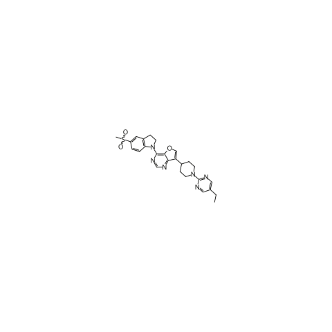 CCc1cnc(N2CCC(c3coc4c(N5CCc6cc(S(C)(=O)=O)ccc65)ncnc34)CC2)nc1